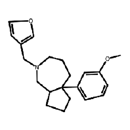 COc1cccc(C23CCCC2CN(Cc2ccoc2)CCC3)c1